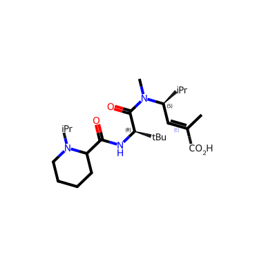 C/C(=C\[C@H](C(C)C)N(C)C(=O)[C@H](NC(=O)C1CCCCN1C(C)C)C(C)(C)C)C(=O)O